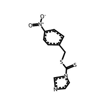 O=[N+]([O-])c1ccc(CSC(=S)n2ccnc2)cc1